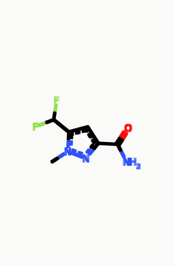 Cn1nc(C(N)=O)cc1C(F)F